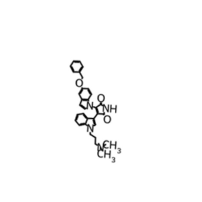 CN(C)CCCn1cc(C2=C(n3ccc4cc(OCc5ccccc5)ccc43)C(=O)NC2=O)c2ccccc21